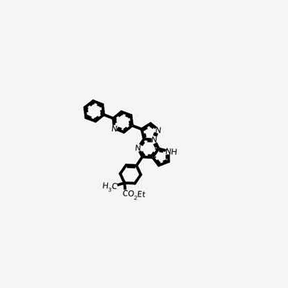 CCOC(=O)C1(C)CC=C(c2nc3c(-c4ccc(-c5ccccc5)nc4)cnn3c3[nH]ccc23)CC1